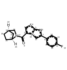 O=C(c1csc2nc(-c3ccc(F)cc3)cn12)N1C[C@@H]2CC[C@H]1C2